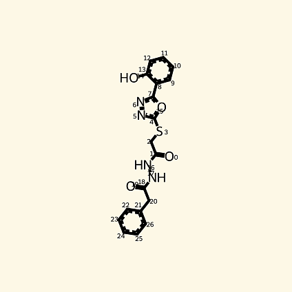 O=C(CSc1nnc(-c2ccccc2O)o1)NNC(=O)Cc1ccccc1